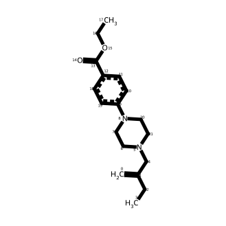 C=C(CC)CN1CCN(c2ccc(C(=O)OCC)cc2)CC1